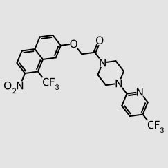 O=C(COc1ccc2ccc([N+](=O)[O-])c(C(F)(F)F)c2c1)N1CCN(c2ccc(C(F)(F)F)cn2)CC1